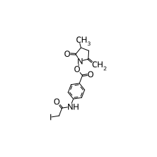 C=C1CC(C)C(=O)N1OC(=O)c1ccc(NC(=O)CI)cc1